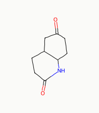 O=C1CCC2NC(=O)CCC2C1